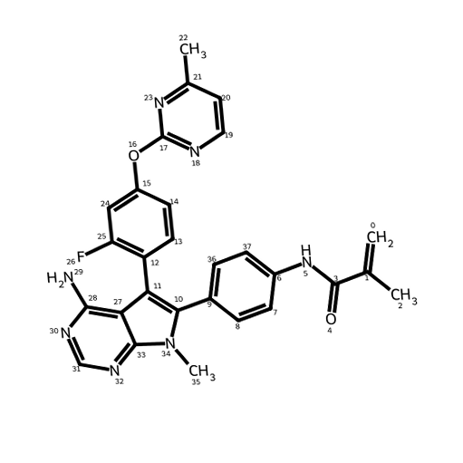 C=C(C)C(=O)Nc1ccc(-c2c(-c3ccc(Oc4nccc(C)n4)cc3F)c3c(N)ncnc3n2C)cc1